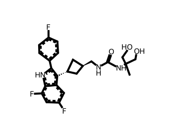 CC(CO)(CO)NC(=O)NC[C@H]1C[C@H](c2c(-c3ccc(F)cc3)[nH]c3c(F)cc(F)cc32)C1